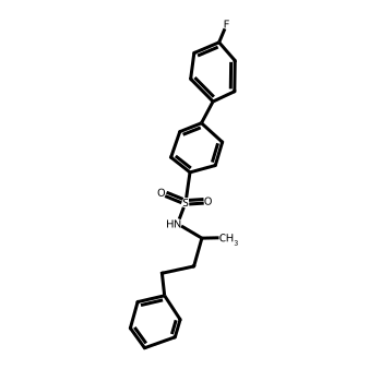 CC(CCc1ccccc1)NS(=O)(=O)c1ccc(-c2ccc(F)cc2)cc1